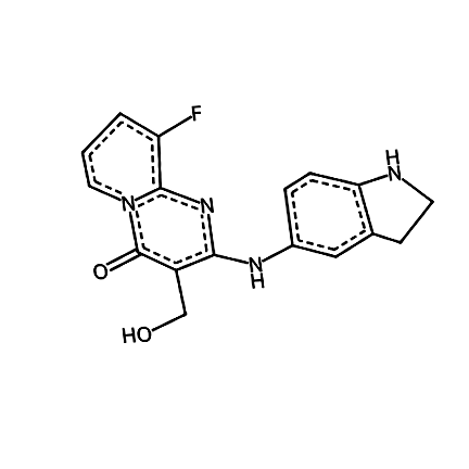 O=c1c(CO)c(Nc2ccc3c(c2)CCN3)nc2c(F)cccn12